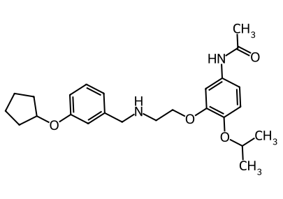 CC(=O)Nc1ccc(OC(C)C)c(OCCNCc2cccc(OC3CCCC3)c2)c1